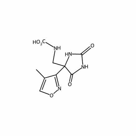 Cc1conc1C1(CNC(=O)O)NC(=O)NC1=O